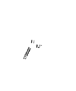 C=O.[Li+].[OH-]